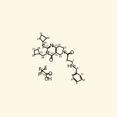 O=C(CCNCc1ccccc1)N1CCc2nc(SC3CCC3)n(CC3CCC3)c(=O)c2C1.O=C(O)C(F)(F)F